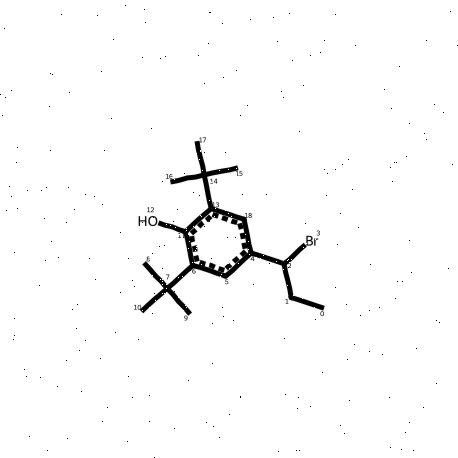 CCC(Br)c1cc(C(C)(C)C)c(O)c(C(C)(C)C)c1